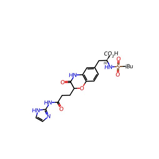 CCC(C)S(=O)(=O)N[C@@H](Cc1ccc2c(c1)NC(=O)C(CCC(=O)Nc1ncc[nH]1)O2)C(=O)O